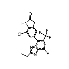 CCc1nc2c(F)cc(C(F)(F)F)c(-c3cc(Cl)c4c(c3)CC(=O)N4)n2n1